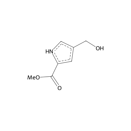 COC(=O)c1cc(CO)c[nH]1